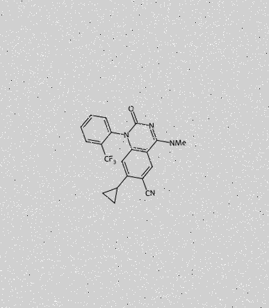 CNc1nc(=O)n(-c2ccccc2C(F)(F)F)c2cc(C3CC3)c(C#N)cc12